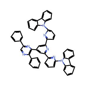 c1ccc(-c2cnc(-c3ccccc3)c(-c3cc(-c4cccc(-n5c6ccccc6c6ccccc65)n4)nc(-c4cccc(-n5c6ccccc6c6ccccc65)n4)c3)n2)cc1